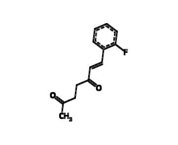 CC(=O)CCC(=O)/C=C/c1ccccc1F